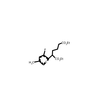 CCOC(=O)CCCC(C(=O)OCC)c1ccc(C)cc1F